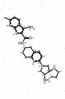 Cc1ccc2c(N)c(C(=O)N[C@H]3CCc4nc(N5C[C@H](N)[C@@]6(CCCO6)C5)ccc4C3)sc2n1